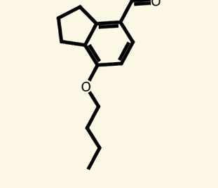 CCCCOc1ccc(C=O)c2c1CCC2